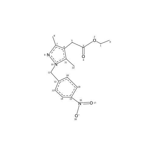 CCOC(=O)Cc1c(C)nn(Cc2ccc([N+](=O)[O-])cc2)c1C